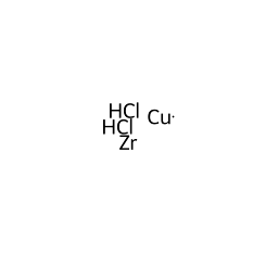 Cl.Cl.[Cu].[Zr]